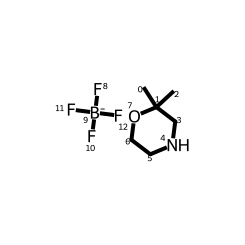 CC1(C)CNCCO1.F[B-](F)(F)F